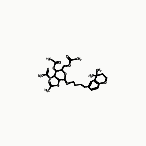 CC(=O)OCC1OC(OCCCCc2ccc3c(c2)C(C)(C)CCO3)C(OC(C)=O)C(OC(C)=O)C1OC(C)=O